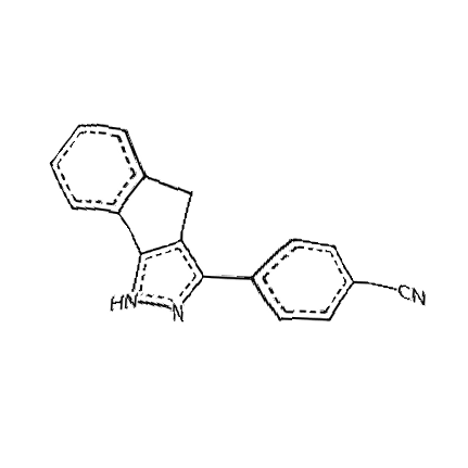 N#Cc1ccc(-c2n[nH]c3c2Cc2ccccc2-3)cc1